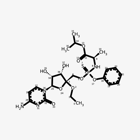 CCO[C@]1(COP(=S)(N[C@H](C)C(=O)OC(C)C)Oc2ccccc2)O[C@@H](n2ccc(N)nc2=O)[C@H](O)[C@@H]1O